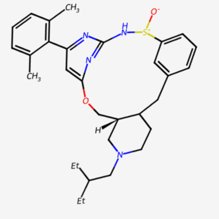 CCC(CC)CN1CCC2Cc3cccc(c3)[S+]([O-])Nc3nc(cc(-c4c(C)cccc4C)n3)OC[C@H]2C1